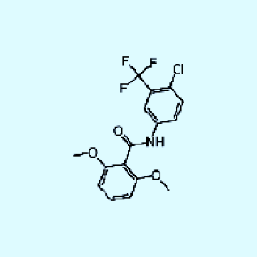 COc1cccc(OC)c1C(=O)Nc1ccc(Cl)c(C(F)(F)F)c1